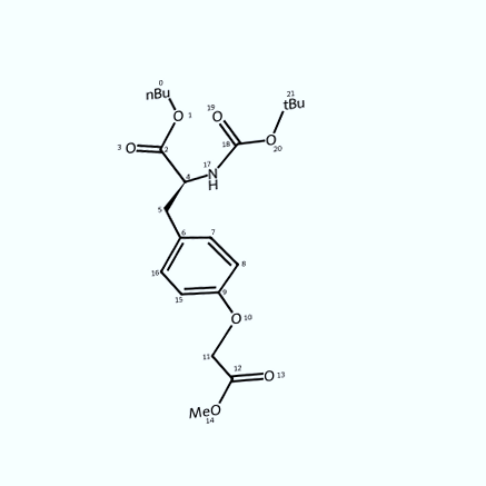 CCCCOC(=O)[C@H](Cc1ccc(OCC(=O)OC)cc1)NC(=O)OC(C)(C)C